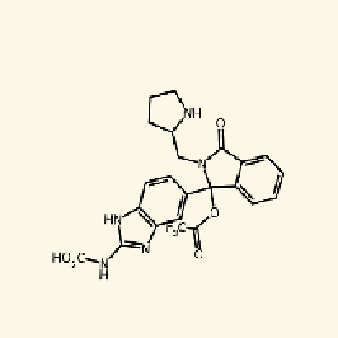 O=C(O)Nc1nc2cc(C3(OC(=O)C(F)(F)F)c4ccccc4C(=O)N3CC3CCCN3)ccc2[nH]1